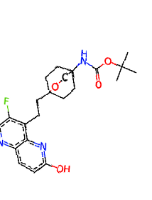 CC(C)(C)OC(=O)NC12CCC(CCc3c(F)cnc4ccc(O)nc34)(CC1)OC2